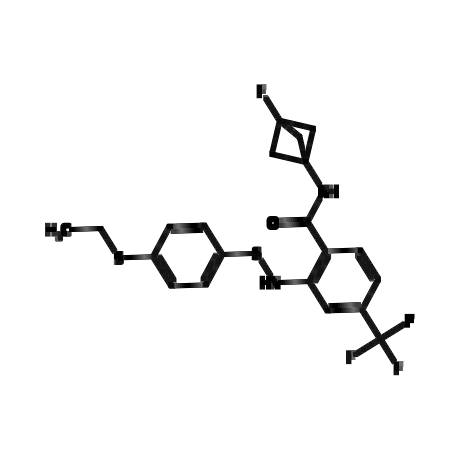 CCSc1ccc(SNc2cc(C(F)(F)F)ccc2C(=O)NC23CC(F)(C2)C3)cc1